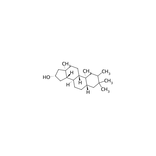 CC1C[C@@]2(C)[C@@H](CC[C@H]3[C@@H]4C[C@H](O)C[C@@]4(C)CC[C@@H]32)CC1(C)C